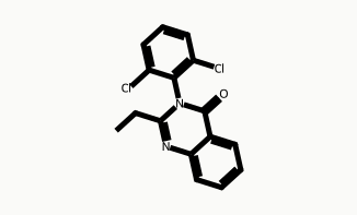 CCc1nc2ccccc2c(=O)n1-c1c(Cl)cccc1Cl